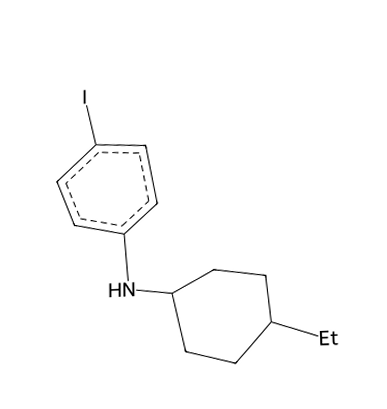 CCC1CCC(Nc2ccc(I)cc2)CC1